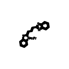 CCCN1C(=CC=Cc2nc3ccccc3s2)Sc2ccccc21